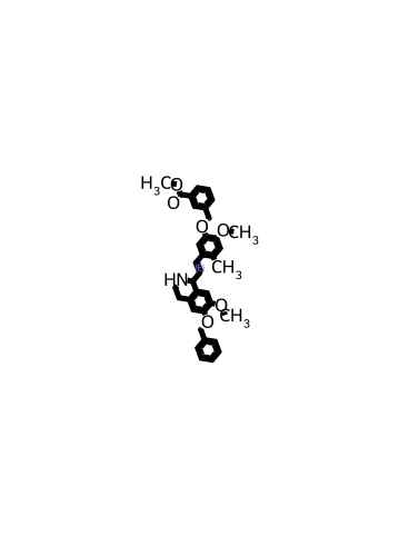 COC(=O)c1cccc(COc2cc(/C=C/C3NCCc4cc(OCc5ccccc5)c(OC)cc43)c(C)cc2OC)c1